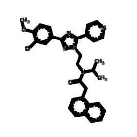 COc1ccc(-c2nc(-c3ccncc3)n(CCN(C(=O)Cc3cccc4ccccc34)C(C)C)n2)cc1Cl